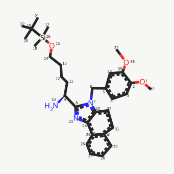 COc1ccc(Cn2c([C@@H](N)CCCCO[Si](C)(C)C(C)(C)C)nc3c4ccccc4ccc32)cc1OC